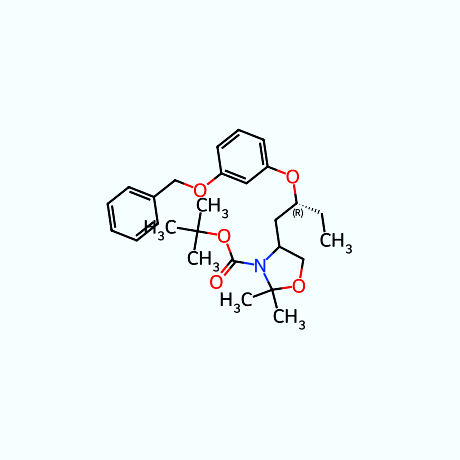 CC[C@H](CC1COC(C)(C)N1C(=O)OC(C)(C)C)Oc1cccc(OCc2ccccc2)c1